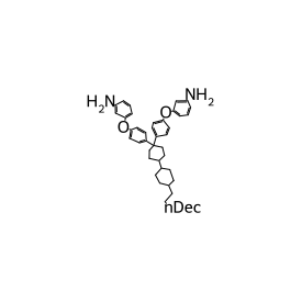 CCCCCCCCCCCCC1CCC(C2CCC(c3ccc(Oc4cccc(N)c4)cc3)(c3ccc(Oc4cccc(N)c4)cc3)CC2)CC1